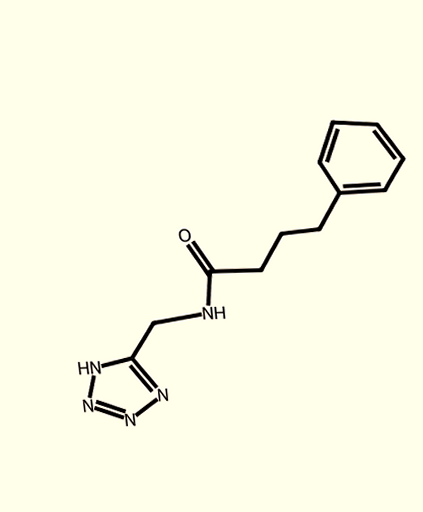 O=C(CCCc1ccccc1)NCc1nnn[nH]1